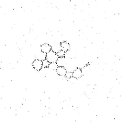 N#Cc1ccc2oc3ccc(-n4c5nc6ccccc6n5c5ccccc5n5c6ccccc6nc45)cc3c2c1